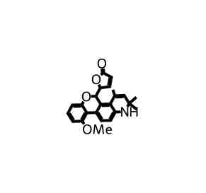 COc1cccc2c1-c1ccc3c(c1C(C1C=CC(=O)O1)O2)C(C)=CC(C)(C)N3